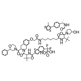 Cc1ncsc1-c1ccc([C@H](C)NC(=O)[C@@H]2C[C@@H](O)CN2C(=O)C(NC(=O)CCCCCCNC(=O)COc2ccc3c(c2)CN(C(=O)C(NC(=O)c2cc4cc(C(F)(F)P(=O)(O)O)ccc4s2)C(C)(C)C)C(C(=O)N2CCOC(c4ccccc4)C2)C3)C(C)(C)C)cc1